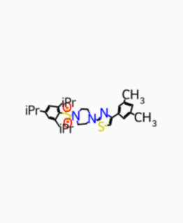 Cc1cc(C)cc(-c2csc(N3CCN(S(=O)(=O)c4c(C(C)C)cc(C(C)C)cc4C(C)C)CC3)n2)c1